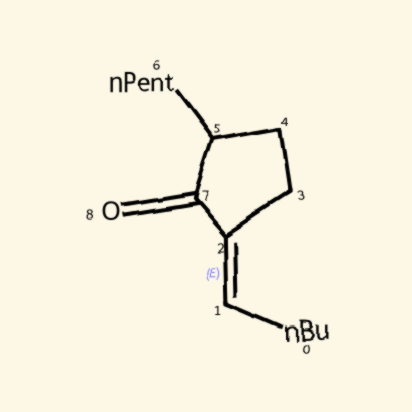 CCCC/C=C1\CCC(CCCCC)C1=O